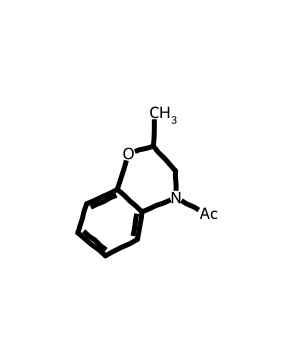 CC(=O)N1CC(C)Oc2ccccc21